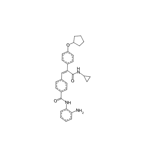 Nc1ccccc1NC(=O)c1ccc(C=C(C(=O)NC2CC2)c2ccc(OC3CCCC3)cc2)cc1